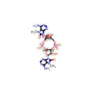 Cn1c(=O)n([C@@H]2O[C@@H]3OP(=O)(S)O[C@@H]4[C@H](O)[C@@H](COP(=O)(S)O[C@H]3[C@H]2O)O[C@H]4n2c(=O)n(C)c3c(N)ncnc32)c2ncnc(N)c21